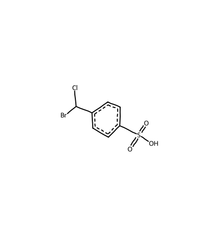 O=S(=O)(O)c1ccc(C(Cl)Br)cc1